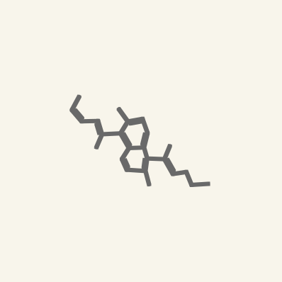 C/C=C\C=C(/C)c1c(C)ccc2c(/C(C)=C/CCC)c(C)ccc12